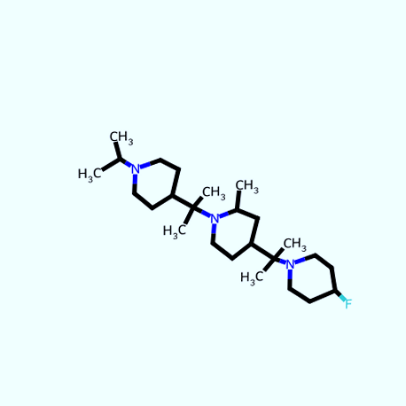 CC(C)N1CCC(C(C)(C)N2CCC(C(C)(C)N3CCC(F)CC3)CC2C)CC1